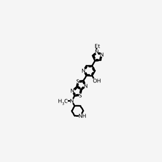 CCn1cc(-c2cnc(-c3nc4sc(N(C)C5CCNCC5)nc4s3)c(O)c2)cn1